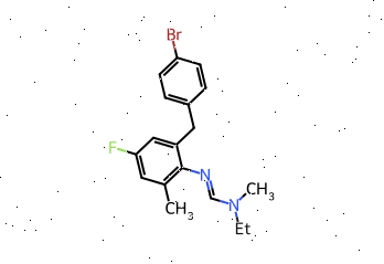 CCN(C)C=Nc1c(C)cc(F)cc1Cc1ccc(Br)cc1